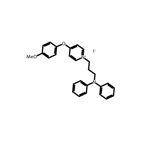 COc1ccc(Oc2cc[n+](CCCN(c3ccccc3)c3ccccc3)cc2)cc1.[I-]